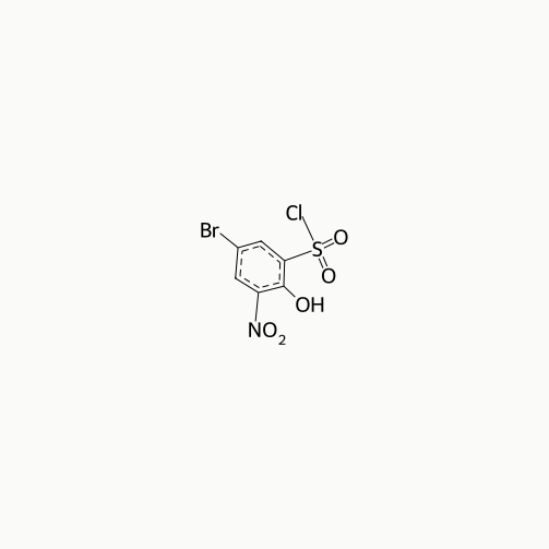 O=[N+]([O-])c1cc(Br)cc(S(=O)(=O)Cl)c1O